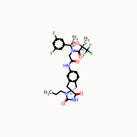 CCCN1C(=O)NC(=O)[C@@]12Cc1ccc(NC(=O)CN(C(=O)[C@](C)(O)C(F)(F)F)[C@H](C)c3cc(F)cc(F)c3)cc1C2